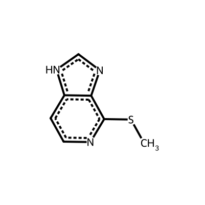 CSc1nccc2[nH]cnc12